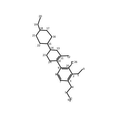 CCc1c(CCF)ccc(C2=C(C)CC(C3CCC(CC)CC3)CC2)c1F